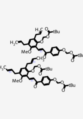 C/C=C/Cc1cc(C/C=C/C)c(OCOC(=O)C(C)(C)C)c(/C=C/C(=O)c2ccc(OCOC(=O)C(C)(C)C)cc2)c1OC.C=CCc1cc(CC=C)c(OCOC(=O)C(C)(C)C)c(/C=C/C(=O)c2ccc(OCOC(=O)C(C)(C)C)cc2)c1OC